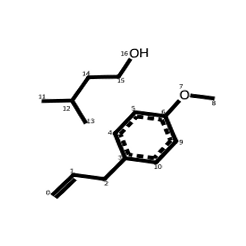 C=CCc1ccc(OC)cc1.CC(C)CCO